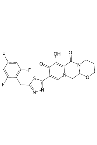 O=C1c2c(O)c(=O)c(-c3nnc(Cc4c(F)cc(F)cc4F)s3)cn2CC2OCCCN12